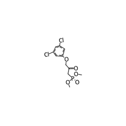 COP(=O)(CC(=O)COc1cc(Cl)cc(Cl)c1)OC